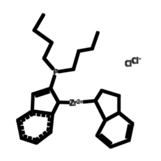 CCCCP(CCCC)C1=Cc2ccccc2[CH]1[Zr+2][CH]1CCC2C=CC=CC21.[Cl-].[Cl-]